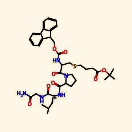 CC(C)C[C@H](NC(=O)C1CCCN1C(=O)C(CSCCCC(=O)OC(C)(C)C)NC(=O)OCC1c2ccccc2-c2ccccc21)C(=O)NCC(N)=O